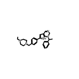 CCN1CCN(Cc2ccc(-c3cc4c([nH]3)N(C(C)c3ccccc3)CN=C4)cc2)CC1